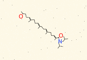 CC(=O)CC/C=C(\C)CC/C=C(\C)CC/C=C(\C)CC/C=C(\C)C(=O)N(CC(C)C)CC(C)C